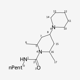 CCCCCNC(=O)N1C(C)CC(N2CCCCC2)CC1C